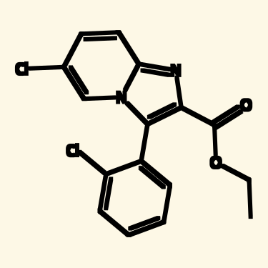 CCOC(=O)c1nc2ccc(Cl)cn2c1-c1ccccc1Cl